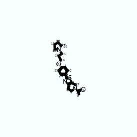 CC(=O)N1CCc2nc(-c3ccc(OCCCN4CCC[C@@H]4C)cc3)sc2C1